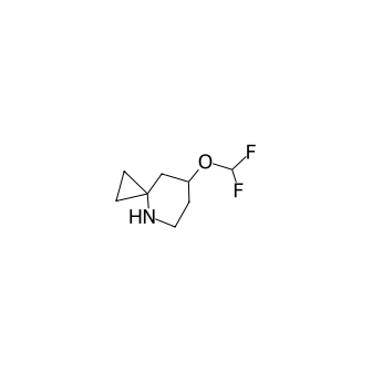 FC(F)OC1CCNC2(CC2)C1